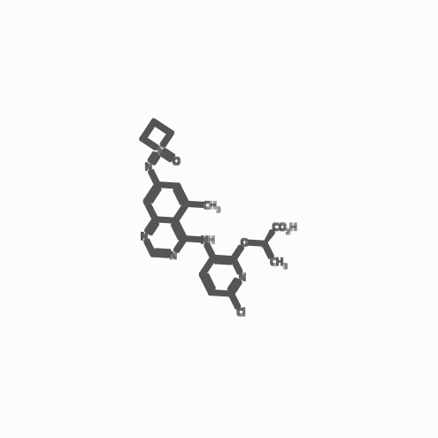 Cc1cc(N=S2(=O)CCC2)cc2ncnc(Nc3ccc(Cl)nc3O[C@H](C)C(=O)O)c12